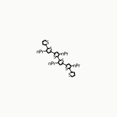 CCCc1cc(-c2cc(CCC)c(-c3sc(-c4cc(CCC)c(-c5cccs5)s4)cc3CCC)s2)sc1-c1cccs1